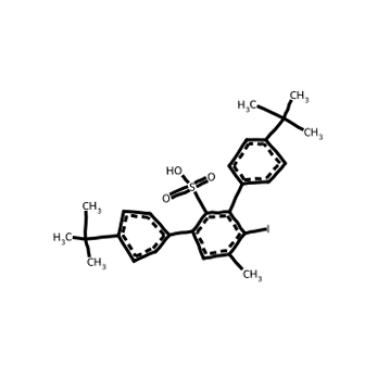 Cc1cc(-c2ccc(C(C)(C)C)cc2)c(S(=O)(=O)O)c(-c2ccc(C(C)(C)C)cc2)c1I